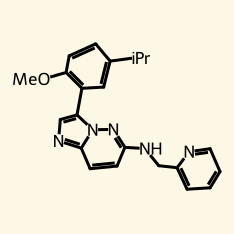 COc1ccc(C(C)C)cc1-c1cnc2ccc(NCc3ccccn3)nn12